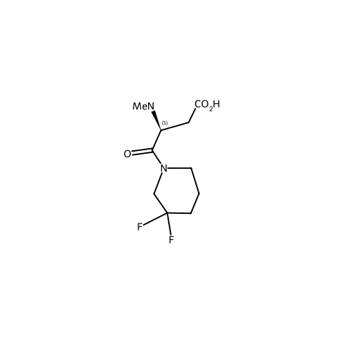 CN[C@@H](CC(=O)O)C(=O)N1CCCC(F)(F)C1